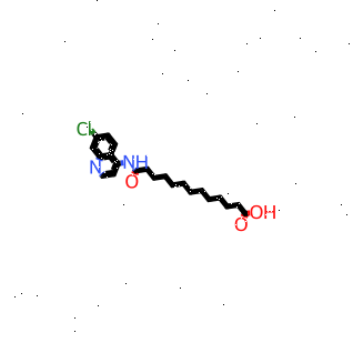 O=C(O)CCCCCCCCCCCC(=O)Nc1ccnc2cc(Cl)ccc12